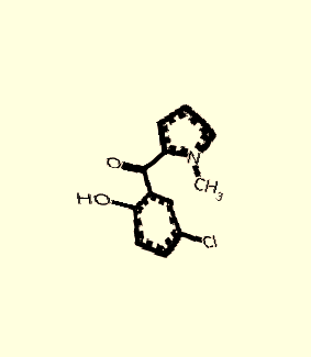 Cn1cccc1C(=O)c1cc(Cl)ccc1O